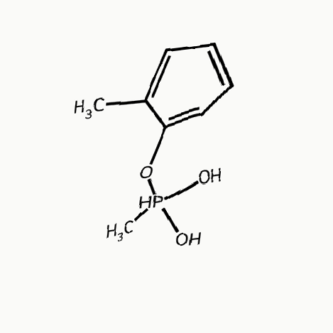 Cc1ccccc1O[PH](C)(O)O